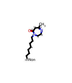 CCCCCCCCCCCCCCCCN1CCN=C(C)CC1=O